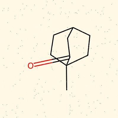 CC12CCC(CC1)CC2=O